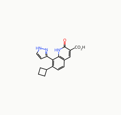 O=C(O)c1cc2ccc(C3CCC3)c(-c3cc[nH]n3)c2[nH]c1=O